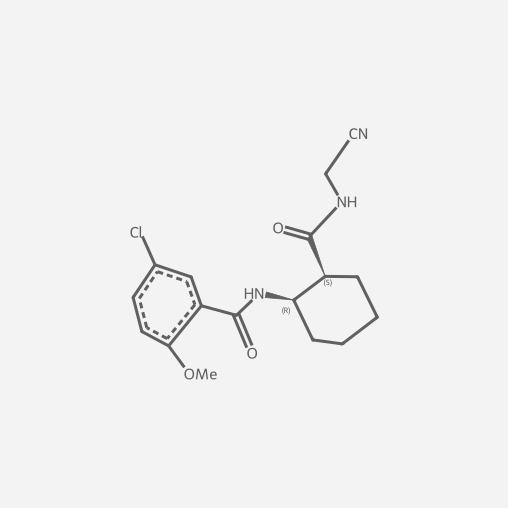 COc1ccc(Cl)cc1C(=O)N[C@@H]1CCCC[C@@H]1C(=O)NCC#N